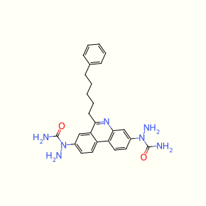 NC(=O)N(N)c1ccc2c(c1)nc(CCCCCc1ccccc1)c1cc(N(N)C(N)=O)ccc12